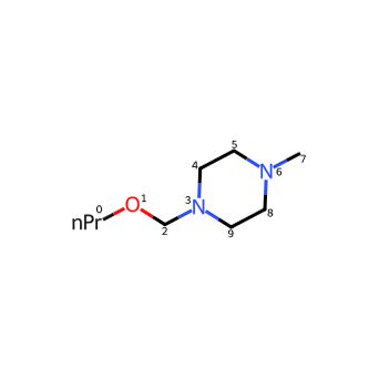 CCCOCN1CCN(C)CC1